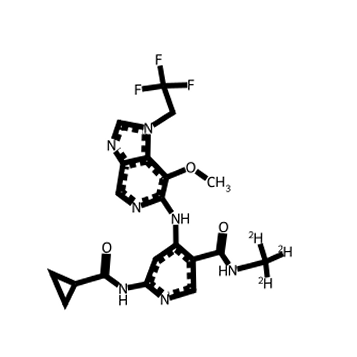 [2H]C([2H])([2H])NC(=O)c1cnc(NC(=O)C2CC2)cc1Nc1ncc2ncn(CC(F)(F)F)c2c1OC